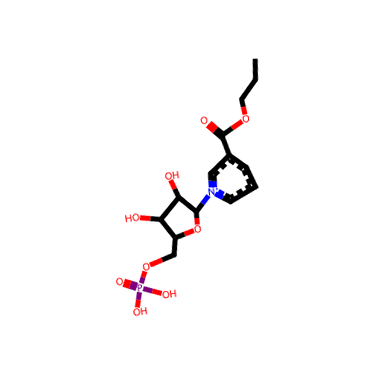 CCCOC(=O)c1ccc[n+](C2OC(COP(=O)(O)O)C(O)C2O)c1